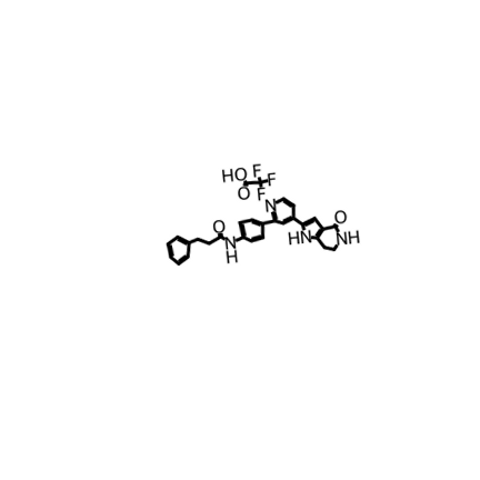 O=C(CCc1ccccc1)Nc1ccc(-c2cc(-c3cc4c([nH]3)CCNC4=O)ccn2)cc1.O=C(O)C(F)(F)F